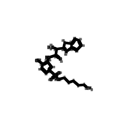 CCCCCCNS(=O)(=O)c1ccc(Cl)c(NC(=O)C(C)c2nc3ccccc3s2)c1